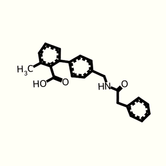 Cc1cccc(-c2ccc(CNC(=O)Cc3ccccc3)cc2)c1C(=O)O